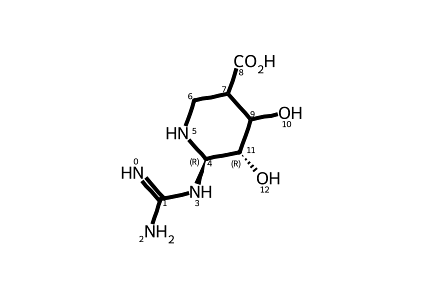 N=C(N)N[C@H]1NCC(C(=O)O)C(O)[C@@H]1O